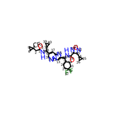 O=C(CC1(C(F)(F)F)CC1)N[C@@H](c1cnn2cc([C@@H](NC(=O)c3nonc3C3CC3)C3CCC(F)(F)CC3)nc2c1)C1CC1